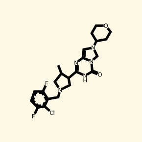 CC1CN(Cc2c(F)ccc(F)c2Cl)CC1C1=NC2=CN(C3CCOCC3)CN2C(=O)N1